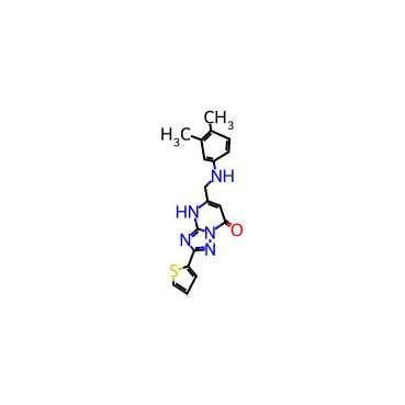 Cc1ccc(NCc2cc(=O)n3nc(-c4cccs4)nc3[nH]2)cc1C